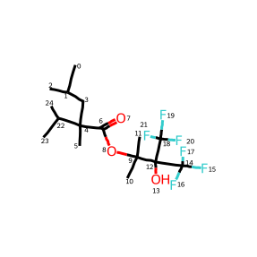 CC(C)CC(C)(C(=O)OC(C)(C)C(O)(C(F)(F)F)C(F)(F)F)C(C)C